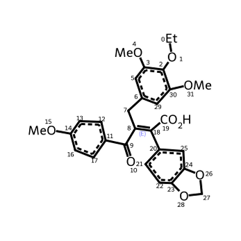 CCOc1c(OC)cc(C/C(C(=O)c2ccc(OC)cc2)=C(\C(=O)O)c2ccc3c(c2)OCO3)cc1OC